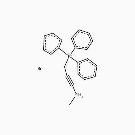 C[SiH2]C#CC[P+](c1ccccc1)(c1ccccc1)c1ccccc1.[Br-]